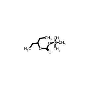 CCC(CC)OC(=O)O[Si](C)(C)C